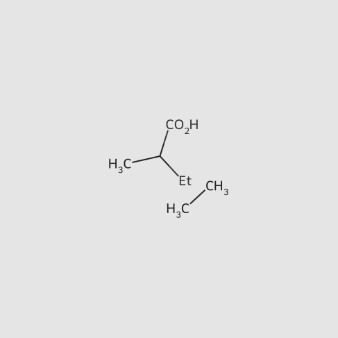 CC.CCC(C)C(=O)O